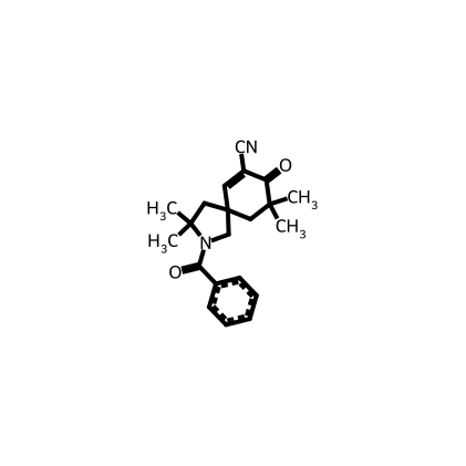 CC1(C)CC2(C=C(C#N)C1=O)CN(C(=O)c1ccccc1)C(C)(C)C2